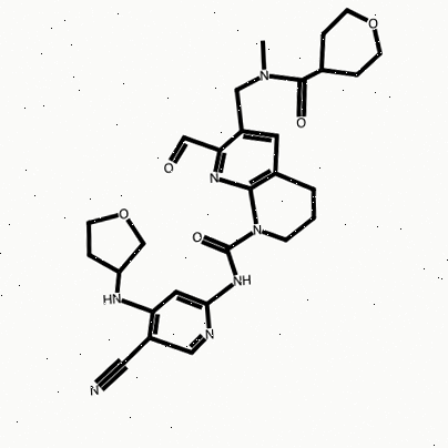 CN(Cc1cc2c(nc1C=O)N(C(=O)Nc1cc(NC3CCOC3)c(C#N)cn1)CCC2)C(=O)C1CCOCC1